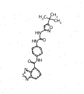 CC(C)(C)c1cc(NC(=O)Nc2ccc(NC(=O)c3cccc4nsnc34)cc2)no1